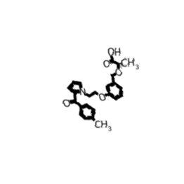 Cc1ccc(C(=O)c2cccn2CCOc2cccc(CO[C@@H](C)C(=O)O)c2)cc1